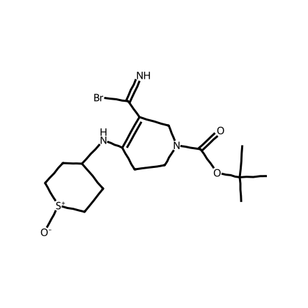 CC(C)(C)OC(=O)N1CCC(NC2CC[S+]([O-])CC2)=C(C(=N)Br)C1